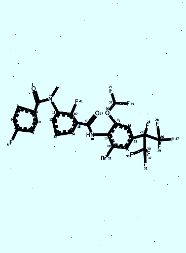 CN(C(=O)c1ccc(F)cc1)c1cccc(C(=O)Nc2c(Br)cc(C(F)(C(F)(F)F)C(F)(F)F)cc2OC(F)F)c1F